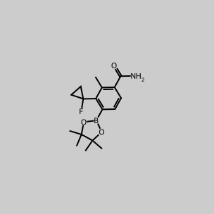 Cc1c(C(N)=O)ccc(B2OC(C)(C)C(C)(C)O2)c1C1(F)CC1